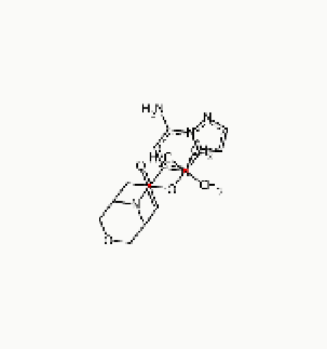 CC(C)(C)OC(=O)N1C2C=C(c3cc(N)n4nccc4n3)CC1COC2